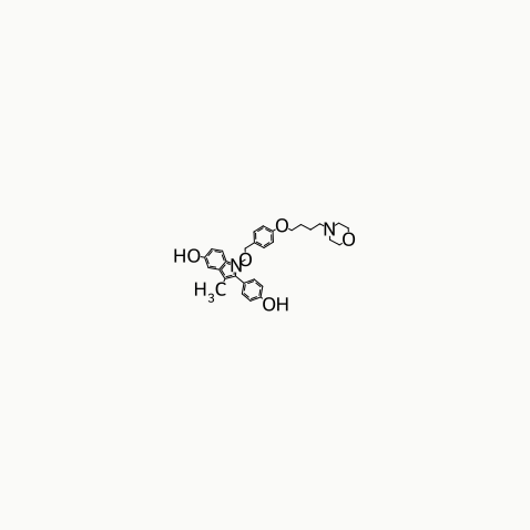 Cc1c(-c2ccc(O)cc2)n(OCc2ccc(OCCCCN3CCOCC3)cc2)c2ccc(O)cc12